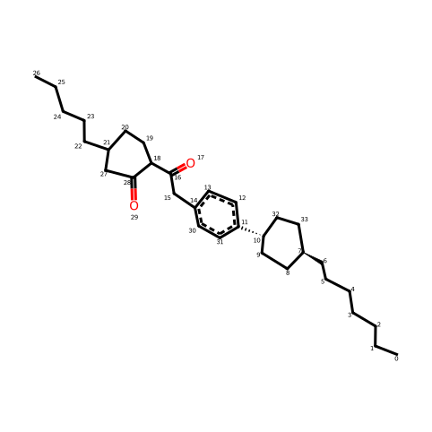 CCCCCCC[C@H]1CC[C@H](c2ccc(CC(=O)C3CCC(CCCCC)CC3=O)cc2)CC1